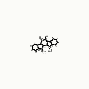 CCn1c2ccccc2c2c(C)c(C)c3c4ccccc4n(CC)c3c21